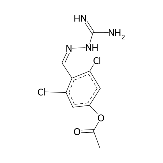 CC(=O)Oc1cc(Cl)c(/C=N\NC(=N)N)c(Cl)c1